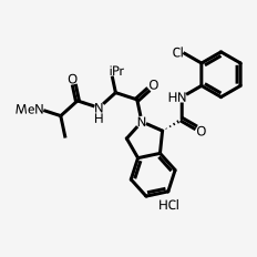 CNC(C)C(=O)NC(C(=O)N1Cc2ccccc2[C@H]1C(=O)Nc1ccccc1Cl)C(C)C.Cl